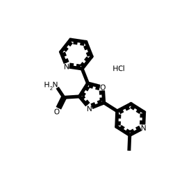 Cc1cc(-c2nc(C(N)=O)c(-c3ccccn3)o2)ccn1.Cl